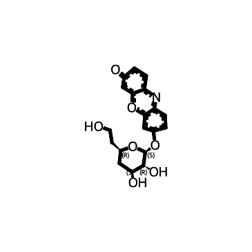 O=c1ccc2nc3ccc(O[C@@H]4O[C@H](CCO)C[C@H](O)[C@H]4O)cc3oc-2c1